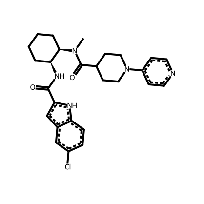 CN(C(=O)C1CCN(c2ccncc2)CC1)[C@@H]1CCCC[C@@H]1NC(=O)c1cc2cc(Cl)ccc2[nH]1